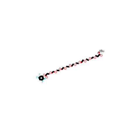 CC(C)(C)OC(=O)CCOCCOCCOCCOCCOCCOCCOCCOCCOCCOCCC(=O)Oc1c(F)c(F)cc(F)c1F